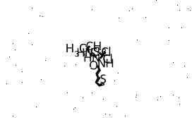 CC(C)NC(=S)NC(NC(=O)/C=C/c1cccs1)C(Cl)(Cl)Cl